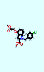 COC(=O)COc1cccc2c1cc(C(=O)OC)n2Cc1ccc(Cl)cc1